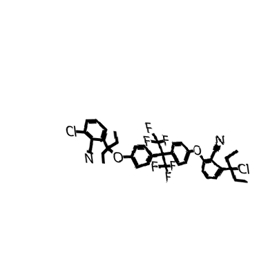 CCC(Cl)(CC)c1cccc(Oc2ccc(C(c3ccc(OC(CC)(CC)c4cccc(Cl)c4C#N)cc3)(C(F)(F)F)C(F)(F)F)cc2)c1C#N